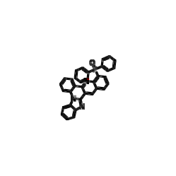 O=P(c1ccccc1)(c1ccccc1)c1cccc2cc3c(nc12)c1ccccc1n1c2ccccc2nc31